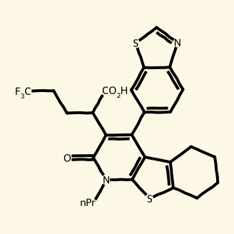 CCCn1c(=O)c(C(CCC(F)(F)F)C(=O)O)c(-c2ccc3ncsc3c2)c2c3c(sc21)CCCC3